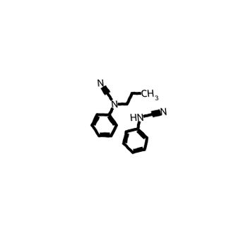 CCCN(C#N)c1ccccc1.N#CNc1ccccc1